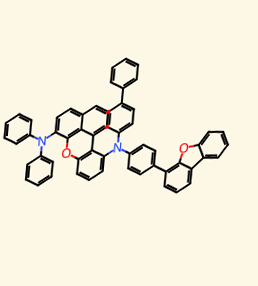 c1ccc(-c2ccc(N(c3ccc(-c4cccc5c4oc4ccccc45)cc3)c3cccc4c3-c3cccc5ccc(N(c6ccccc6)c6ccccc6)c(c35)O4)cc2)cc1